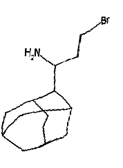 NC(CCBr)C1C2CC3CC(C2)CC1C3